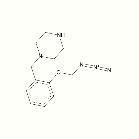 [N-]=[N+]=NCOc1ccccc1CN1CCNCC1